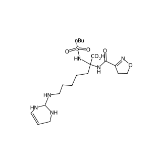 CCCCS(=O)(=O)NC(CCCCCNC1NC=CCN1)(NC(=O)C1=NOCC1)C(=O)O